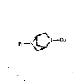 CCC(C)N1CC2CC1CN2C(C)C